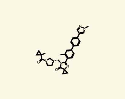 Cc1cc(-c2ccc(-c3cnn(C)c3)cc2)ccc1C1=NC2(CC2)C(=O)N1C[C@@H]1CCN(C(=O)C2(C)CC2)C1